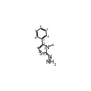 Cn1c(-c2ccccc2)csc1=NN